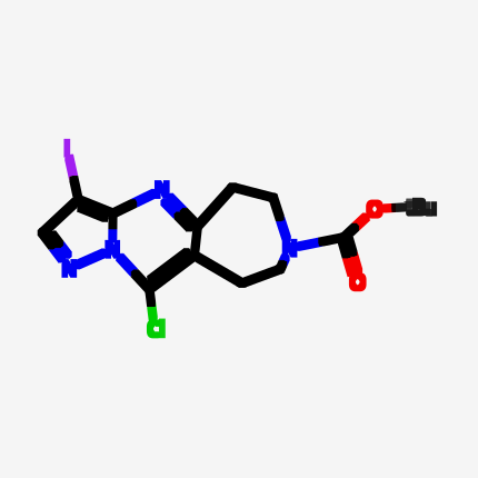 CC(C)(C)OC(=O)N1CCc2nc3c(I)cnn3c(Cl)c2CC1